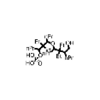 CCCC(CO)C(CC)(CC)C(CCC)OC(CCC)C(CC)(CC)C(CCC)OP(=O)(O)O